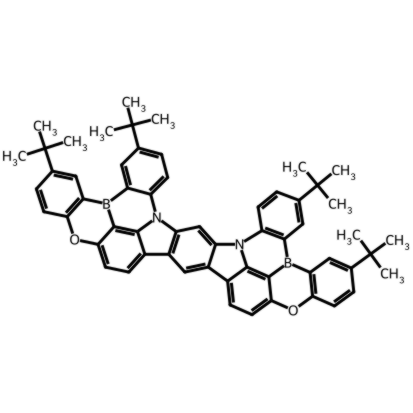 CC(C)(C)c1ccc2c(c1)B1c3cc(C(C)(C)C)ccc3-n3c4cc5c(cc4c4ccc(c1c43)O2)c1ccc2c3c1n5-c1ccc(C(C)(C)C)cc1B3c1cc(C(C)(C)C)ccc1O2